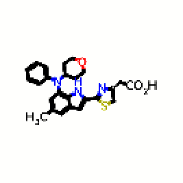 Cc1cc(N(c2ccccc2)C2CCOCC2)c2[nH]c(C3=N[C@@H](CC(=O)O)CS3)cc2c1